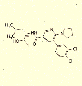 CC(C)C[C@H](NC(=O)c1cnc(N2CCCC2)c(-c2ccc(Cl)c(Cl)c2)c1)C(O)I